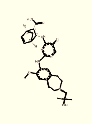 COc1cc2c(cc1Nc1ncc(Cl)c(N[C@H]3[C@@H](C(N)=O)[C@@H]4C=C[C@H]3C4)n1)CCN(CC(C)(C)O)CC2